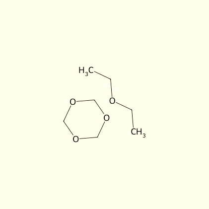 C1OCOCO1.CCOCC